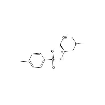 Cc1ccc(S(=O)(=O)O[C@@H](CO)CN(C)C)cc1